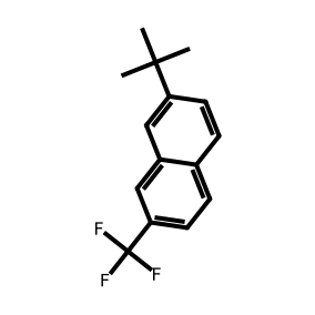 CC(C)(C)c1ccc2ccc(C(F)(F)F)cc2c1